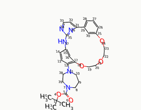 CC(C)(C)OC(=O)N1CCCN(c2ccc3cc2OCCOCCOc2cccc(c2)-c2ccnc(n2)N3)CC1